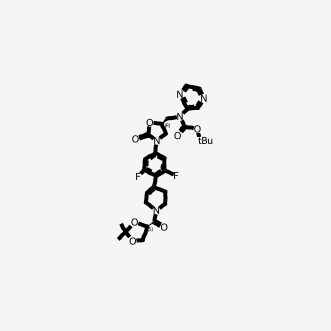 CC(C)(C)OC(=O)N(C[C@H]1CN(c2cc(F)c(C3=CCN(C(=O)[C@@H]4COC(C)(C)O4)CC3)c(F)c2)C(=O)O1)c1cnccn1